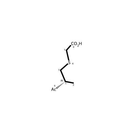 CC(=O)[C@@H](C)CSCC(=O)O